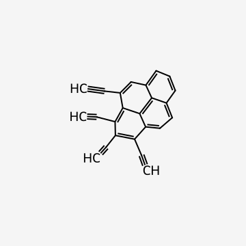 C#Cc1c(C#C)c2ccc3cccc4cc(C#C)c(c1C#C)c2c34